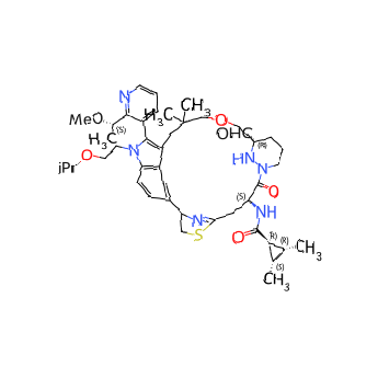 CO[C@@H](C)c1ncccc1-c1c2c3cc(ccc3n1CCOC(C)C)C1CSC(=N1)C[C@H](NC(=O)[C@H]1[C@H](C)[C@@H]1C)C(=O)N1CCC[C@](C=O)(COCC(C)(C)C2)N1